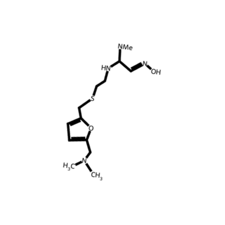 CNC(/C=N/O)NCCSCc1ccc(CN(C)C)o1